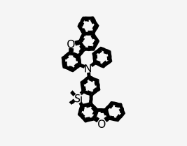 C[Si]1(C)c2cc(N(c3ccccc3)c3cccc4oc5c6ccccc6ccc5c34)ccc2-c2c1ccc1oc3ccccc3c21